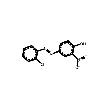 O=[N+]([O-])c1cc(N=Nc2ccccc2Cl)ccc1O